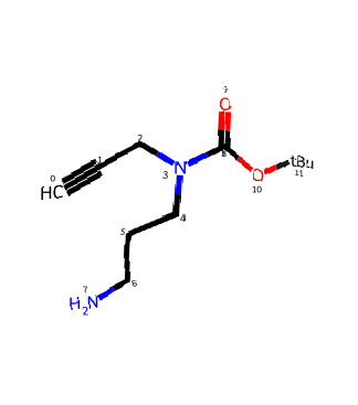 C#CCN(CCCN)C(=O)OC(C)(C)C